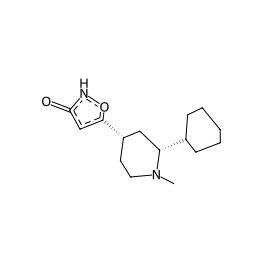 CN1CC[C@H](c2cc(=O)[nH]o2)C[C@@H]1C1CCCCC1